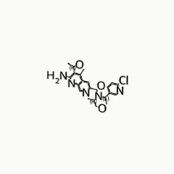 C[C@@H]1COC[C@H](c2ccc(Cl)nc2)N1C(=O)c1cc2c3c(c(N)nc2cn1)[C@@H](C)OC3